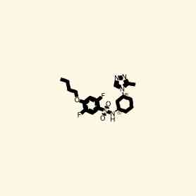 CCCCOc1cc(F)c(S(=O)(=O)N[C@H]2CCC[C@@H](n3cnnc3C)C2)cc1F